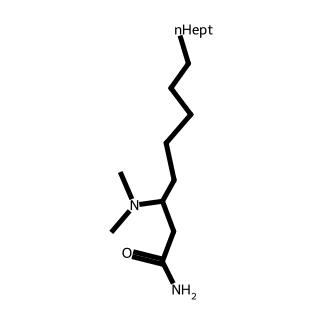 CCCCCCCCCCCCC(CC(N)=O)N(C)C